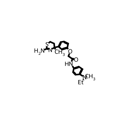 CCN(C)c1ccc(NC(=O)COc2cccc(C3(C)CCSC(N)=N3)c2)cc1